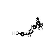 C#Cc1ccc(CNC(=O)N2CCN(c3ccc(-c4cc(OCC)cn5ncc(C#N)c45)cn3)CC2)cc1